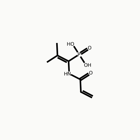 C=CC(=O)NC(=C(C)C)P(=O)(O)O